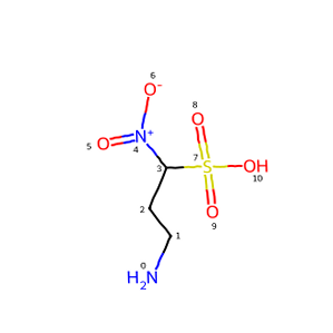 NCCC([N+](=O)[O-])S(=O)(=O)O